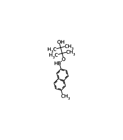 Cc1ccc2cc(BOC(C)(C)C(C)(C)O)ccc2c1